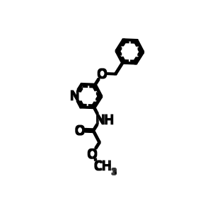 COCC(=O)Nc1cncc(OCc2ccccc2)c1